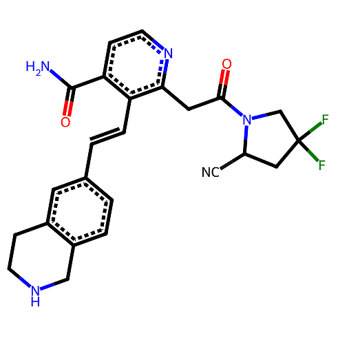 N#CC1CC(F)(F)CN1C(=O)Cc1nccc(C(N)=O)c1C=Cc1ccc2c(c1)CCNC2